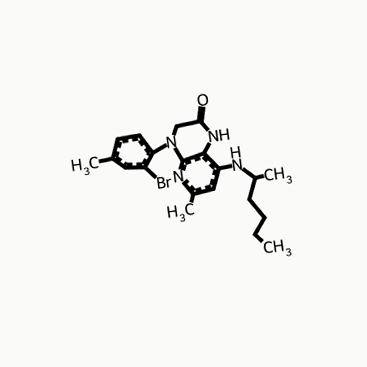 CCCCC(C)Nc1cc(C)nc2c1NC(=O)CN2c1ccc(C)cc1Br